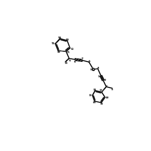 CC(C#CCOCC#CC(C)c1ccccc1)c1ccccc1